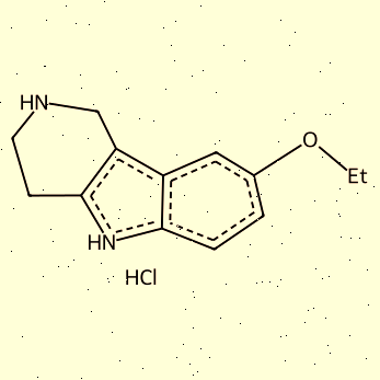 CCOc1ccc2[nH]c3c(c2c1)CNCC3.Cl